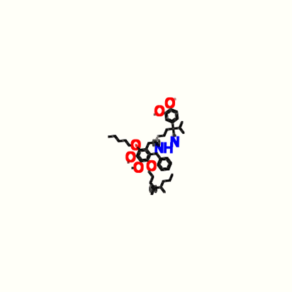 CCCCCOc1c2c(c(OCCC[C@H](C)C(C)CCC)c(OC)c1OC)C(c1ccccc1)N[C@@H](CCCC(C#N)(c1ccc(OC)c(OC)c1)C(C)C)C2